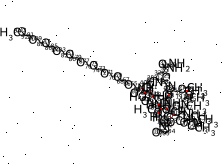 CC[C@H](C)[C@H](NC(=O)C(C)(C)N(C)C)C(=O)N(C)[C@H](C[C@@H](OC(C)=O)c1nc(C(=O)N[C@H](CCC(=O)NN)Cc2ccc(O)c(NC(=O)[C@H](C)NC(=O)[C@@H](NC(=O)[C@H](CCCCNC(=O)COCCOCCOCCOCCOCCOCCOCCOCCOCCOC)NC(=O)CCCN3C(=O)C=CC3=O)C(C)C)c2)cs1)C(C)C